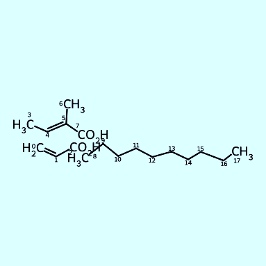 C=CC(=O)O.CC=C(C)C(=O)O.CCCCCCCCCC